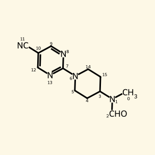 CN(C=O)C1CCN(c2ncc(C#N)cn2)CC1